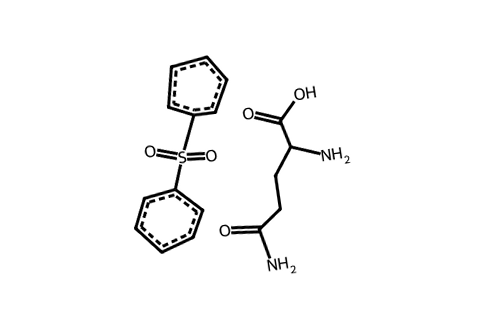 NC(=O)CCC(N)C(=O)O.O=S(=O)(c1ccccc1)c1ccccc1